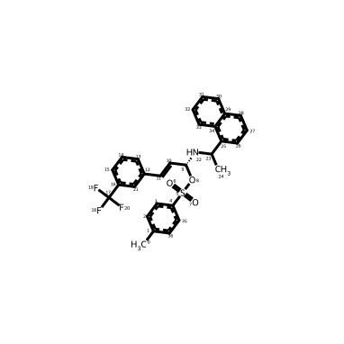 Cc1ccc(S(=O)(=O)O[C@H](/C=C/c2cccc(C(F)(F)F)c2)NC(C)c2cccc3ccccc23)cc1